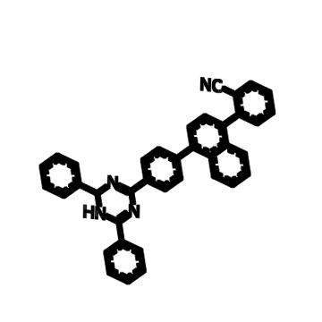 N#Cc1ccccc1-c1ccc(-c2ccc(C3=NC(c4ccccc4)NC(c4ccccc4)=N3)cc2)c2ccccc12